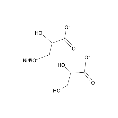 O=C([O-])C(O)CO.O=C([O-])C(O)CO.[Ni+2]